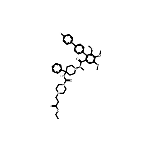 CCOC(=O)CCN1CCN(C(=O)NC2(c3ccccc3)CCN(N(C)C(=O)c3cc(OC)c(OC)c(OC)c3-c3ccc(-c4ccc(F)cc4)cc3)CC2)CC1